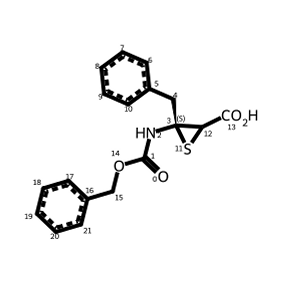 O=C(N[C@@]1(Cc2ccccc2)SC1C(=O)O)OCc1ccccc1